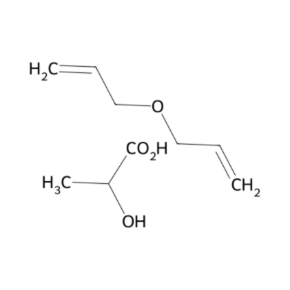 C=CCOCC=C.CC(O)C(=O)O